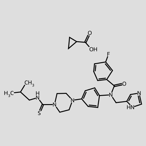 CC(C)CNC(=S)N1CCN(c2ccc(N(Cc3cnc[nH]3)C(=O)c3cccc(F)c3)cc2)CC1.O=C(O)C1CC1